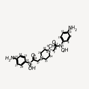 C[N+]1(CC(=O)N(O)c2ccc(N)cc2)CCN(CC(=O)N(O)c2ccc(N)cc2)CC1